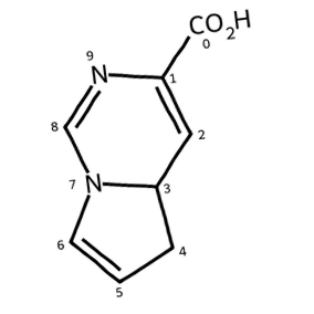 O=C(O)C1=CC2CC=CN2C=N1